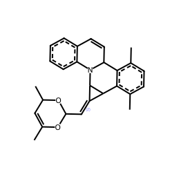 CC1=CC(C)OC(/C=C2/C3c4c(C)ccc(C)c4C4C=Cc5ccccc5N4C23)O1